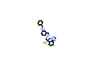 OC(Cn1cncn1)(Cn1ncc2cc(NCc3ccc(F)cc3F)ccc21)c1ccc(F)cc1F